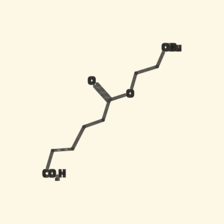 CC(C)COCCOC(=O)CCCCC(=O)O